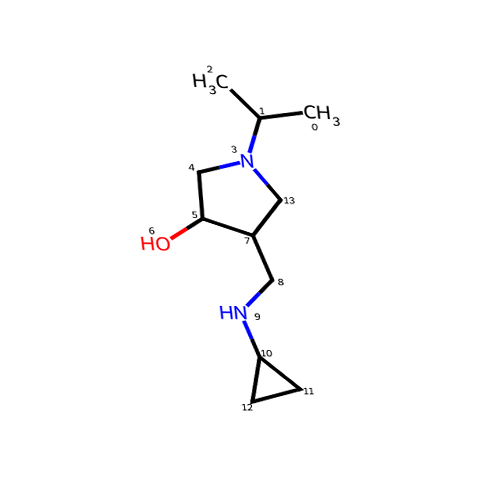 CC(C)N1CC(O)C(CNC2CC2)C1